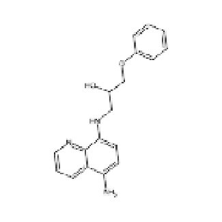 Nc1ccc(NCC(O)COc2ccccc2)c2ncccc12